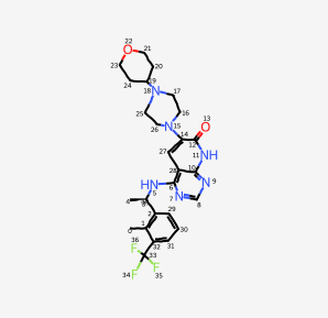 Cc1c([C@@H](C)Nc2ncnc3[nH]c(=O)c(N4CCN(C5CCOCC5)CC4)cc23)cccc1C(F)(F)F